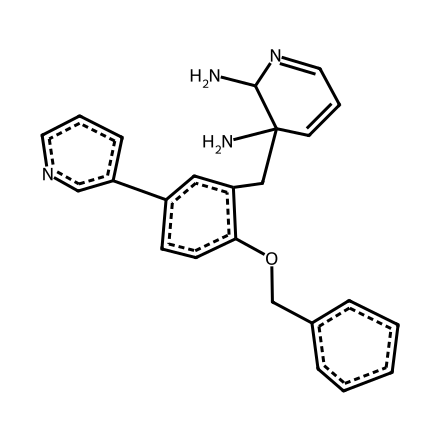 NC1N=CC=CC1(N)Cc1cc(-c2cccnc2)ccc1OCc1ccccc1